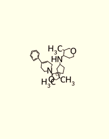 CC1COCCC1NC1CC[C@@](C(=O)N2CC=C(c3ccccc3)CC2)(C(C)C)C1